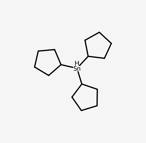 C1CC[CH]([SnH]([CH]2CCCC2)[CH]2CCCC2)C1